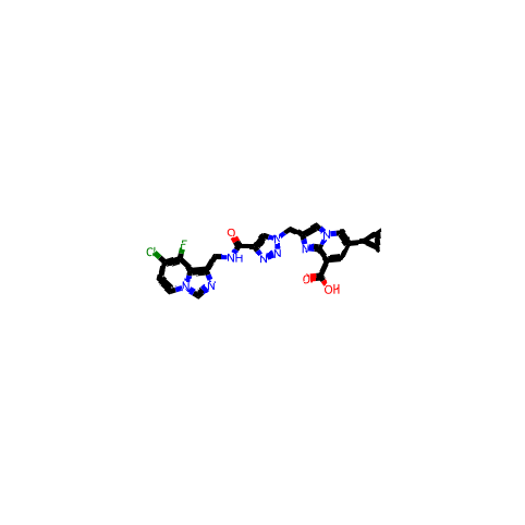 O=C(NCc1ncn2ccc(Cl)c(F)c12)c1cn(Cc2cn3cc(C4CC4)cc(C(=O)O)c3n2)nn1